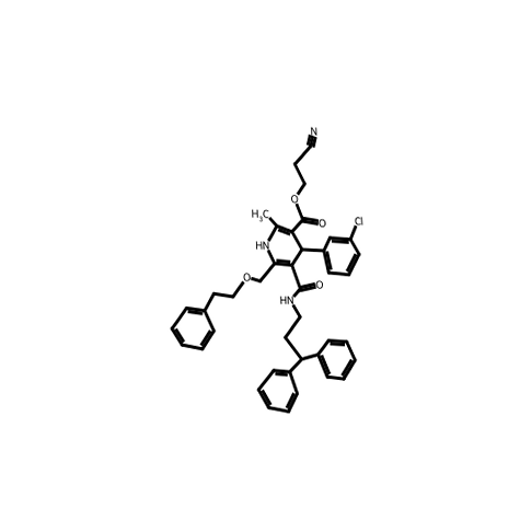 CC1=C(C(=O)OCCC#N)C(c2cccc(Cl)c2)C(C(=O)NCCC(c2ccccc2)c2ccccc2)=C(COCCc2ccccc2)N1